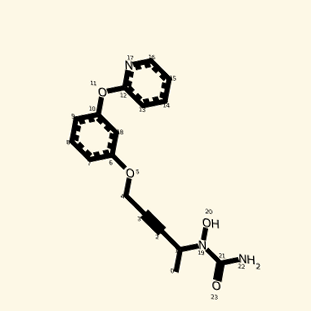 CC(C#CCOc1cccc(Oc2ccccn2)c1)N(O)C(N)=O